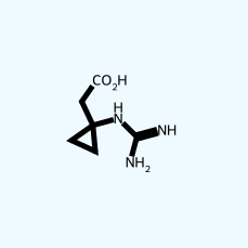 N=C(N)NC1(CC(=O)O)CC1